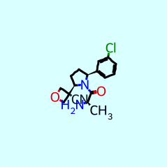 C[C@@H](N)C(=O)N1[C@H](c2cccc(Cl)c2)CC[C@@H]1C1(C#N)COC1